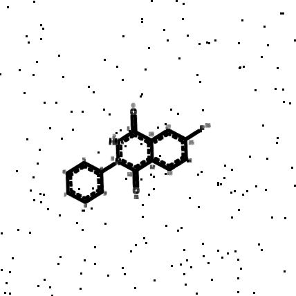 O=c1[nH]n(-c2ccccc2)c(=O)c2ccc(F)cc12